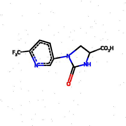 O=C(O)C1CN(c2ccc(C(F)(F)F)nc2)C(=O)N1